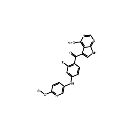 CCOc1ccc(Nc2ccc(C(=O)c3c[nH]c4ncnc(OC)c34)c(F)n2)cn1